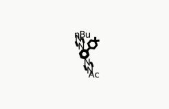 CCCCN1CCN(c2ccc(N3CCN(C(C)=O)CC3)cc2C2CCC(C)(C)CC2)CC1